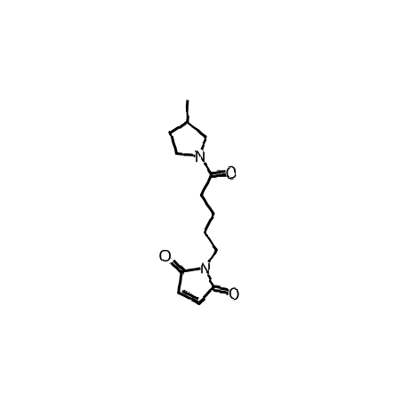 CC1CCN(C(=O)CCCCN2C(=O)C=CC2=O)C1